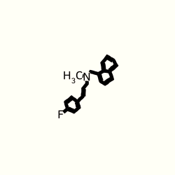 CN(CC=Cc1ccc(F)cc1)Cc1cccc2ccccc12